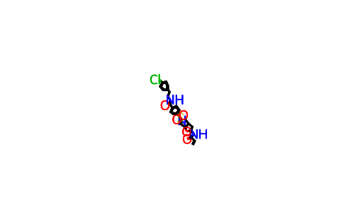 C=CC(=O)NC1CC2CN(S(=O)(=O)c3ccc(C(=O)NCCc4ccc(Cl)cc4)cc3)CC2O1